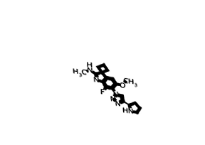 CNC1=Nc2c(cc(OC)c(-n3cc([C@H]4CCCN4)nn3)c2F)C12CCC2